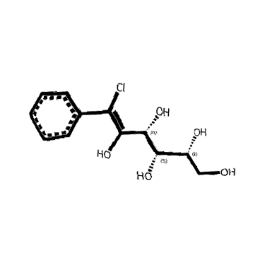 OC[C@@H](O)[C@H](O)[C@@H](O)C(O)=C(Cl)c1ccccc1